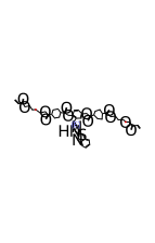 C=CC(=O)COCCCOC(=O)C1CCC(C(=O)Oc2ccc(OC(=O)C3CCC(C(=O)OCCCCOC(=O)C=C)CC3)c(/C=N/Nc3nc4ccccc4s3)c2)CC1